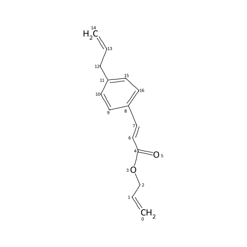 C=CCOC(=O)C=Cc1ccc(CC=C)cc1